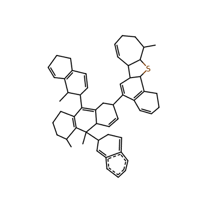 CC1CCCC2=C1C(C)(C1C=c3ccccc3=CC1)C1C=CC(C3=CC4C(SC5C(C)CCC=CC45)C4=C3C=CCC4)CC1=C2C1C=CC2=C(C=CCC2)C1C